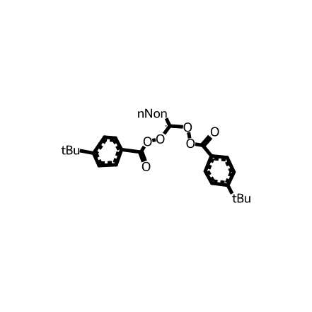 [CH2]CCCCCCCC[C](OOC(=O)c1ccc(C(C)(C)C)cc1)OOC(=O)c1ccc(C(C)(C)C)cc1